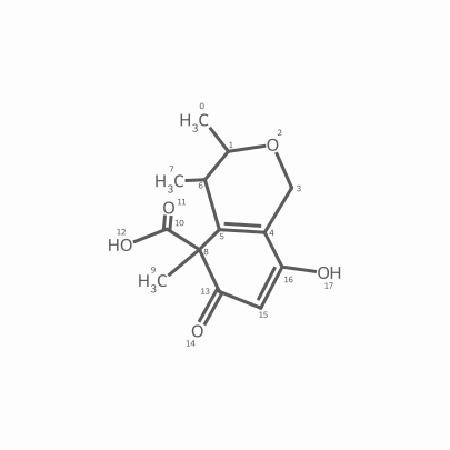 CC1OCC2=C(C1C)C(C)(C(=O)O)C(=O)C=C2O